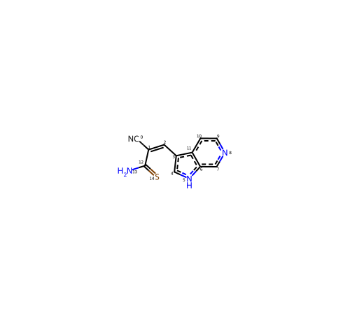 N#C/C(=C/c1c[nH]c2cnccc12)C(N)=S